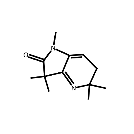 CN1C(=O)C(C)(C)C2=NC(C)(C)CC=C21